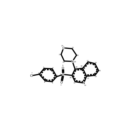 O=S(=O)(c1ccc(Cl)cc1)c1cnc2ccccc2c1N1CCOCC1